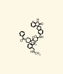 CNCc1ccccc1CN(CC(=O)Nc1ccc2c(c1)CC1(C2)C(=O)Nc2ncccc21)C(=O)C1(C)CCN(C(=O)c2ccccc2)CC1